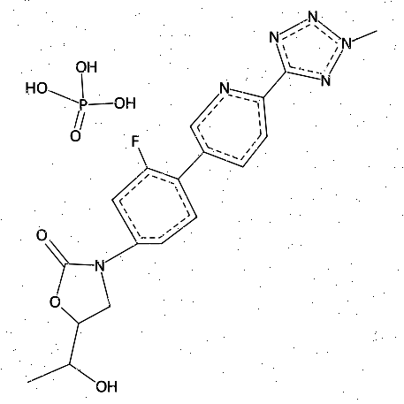 CC(O)C1CN(c2ccc(-c3ccc(-c4nnn(C)n4)nc3)c(F)c2)C(=O)O1.O=P(O)(O)O